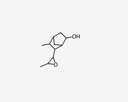 CC1OC1C1C(C)C2CC(O)C1C2